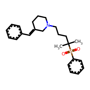 CC(C)(CCCN1CCCC(=Cc2ccccc2)C1)S(=O)(=O)c1ccccc1